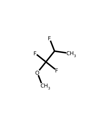 COC(F)(F)C(C)F